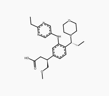 CCc1ncc(Nc2cc([C@@H](COC)CC(=O)O)ccc2[C@@H](CC)N2CCOCC2)cn1